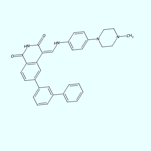 CN1CCN(c2ccc(NC=C3C(=O)NC(=O)c4ccc(-c5cccc(-c6ccccc6)c5)cc43)cc2)CC1